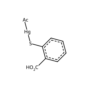 C[C](=O)[Hg][S]c1ccccc1C(=O)O